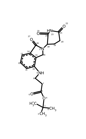 CC(C)(C)OC(=O)CCNc1cccc2c1CN(C1CCC(=O)NC1=O)C2=O